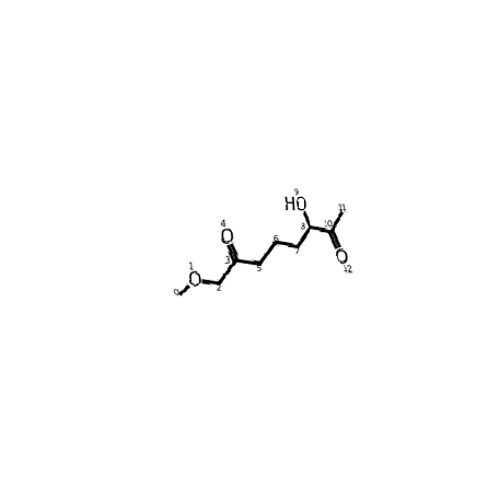 COCC(=O)CCCC(O)C(C)=O